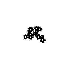 c1ccc2c(c1)-c1cccc3c(-c4nc(-c5ccc6c(c5)oc5ccccc56)nc(-c5cccc6ccccc56)n4)c4c(oc5ccccc54)c-2c13